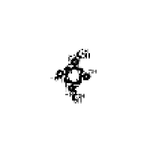 OCC(CO)Nc1c(F)c(F)c(-c2c3nc(c(-c4cccc(O)c4)c4ccc([nH]4)c(-c4c(F)c(F)c(NC(CO)CO)c(F)c4F)c4nc(c(-c5cccc(O)c5)c5ccc2[nH]5)C=C4)C=C3)c(F)c1F